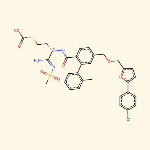 Cc1ccccc1-c1cc(COCc2ccc(-c3ccc(Cl)cc3)o2)ccc1C(=O)N[C@@H](CCSC(=O)O)C(N)=NS(C)(=O)=O